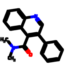 CN(C)C(=O)c1c(-c2ccccc2)cnc2ccccc12